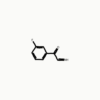 N=CC(=O)c1cccc(F)c1